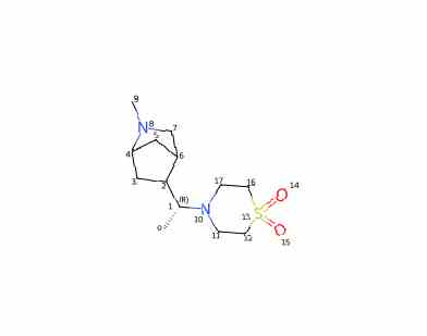 C[C@H](C1CC2CC1CN2C)N1CCS(=O)(=O)CC1